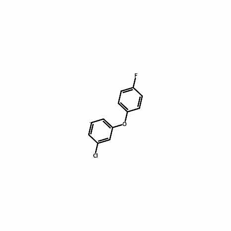 Fc1ccc(Oc2c[c]cc(Cl)c2)cc1